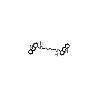 c1ccc2nc3cccc(CNCCCCCCNCc4cccc5nc6ccccc6cc45)c3cc2c1